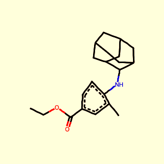 CCOC(=O)c1ccc(NC2C3CC4CC(C3)CC2C4)c(C)c1